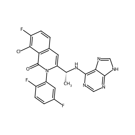 C[C@@H](Nc1ncnc2[nH]cnc12)c1cc2ccc(F)c(Cl)c2c(=O)n1-c1cc(F)ccc1F